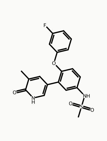 Cc1cc(-c2cc(NS(C)(=O)=O)ccc2Oc2cccc(F)c2)c[nH]c1=O